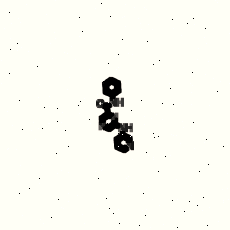 O=C(Nc1ccccc1)c1cncc(Nc2cccnc2)n1